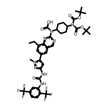 CCc1cc(-c2cc(NC(=O)Nc3cc(C(F)(F)F)ccc3C(F)(F)F)nn2C)cc2cnc(N(C(=O)O)C3CCC(N(C(=O)OC(C)(C)C)C(=O)OC(C)(C)C)CC3)nc12